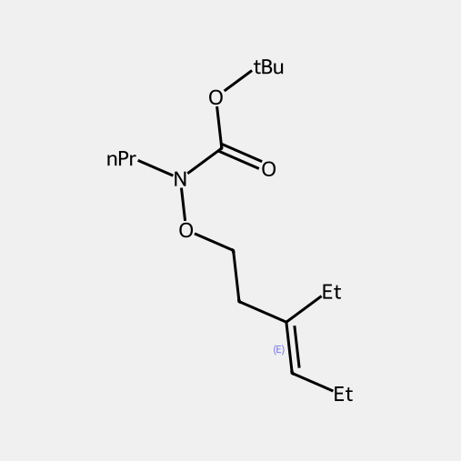 CC/C=C(\CC)CCON(CCC)C(=O)OC(C)(C)C